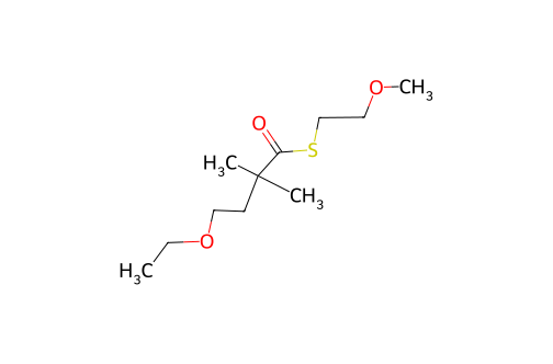 CCOCCC(C)(C)C(=O)SCCOC